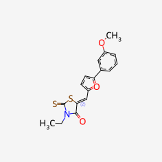 CCN1C(=O)/C(=C/c2ccc(-c3cccc(OC)c3)o2)SC1=S